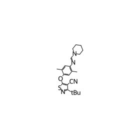 Cc1cc(Oc2snc(C(C)(C)C)c2C#N)c(C)cc1N=CN1CCCCC1